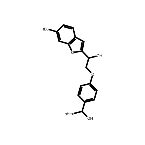 CCCCCCC(O)c1ccc(OCC(O)c2cc3ccc(C(C)(C)C)cc3o2)cc1